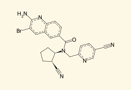 N#Cc1ccc(CN(C(=O)c2ccc3nc(N)c(Br)cc3c2)[C@@H]2CCC[C@@H]2C#N)nc1